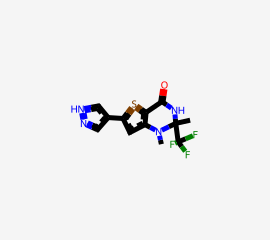 CN1c2cc(-c3cn[nH]c3)sc2C(=O)NC1(C)C(F)(F)F